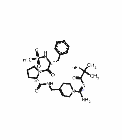 CCCCC(C)(C)C(=O)/N=C(/N)N1CC=C(CNC(=O)[C@@H]2CCCN2C(=O)[C@@H](Cc2ccccc2)NS(C)(=O)=O)CC1